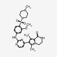 COc1cc(Nc2nccc(-c3c(C)c4n(c3C)CCNC4=O)n2)ccc1S(=O)(=O)N1CCN(C)CC1